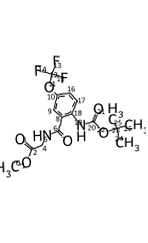 COC(=O)CNC(=O)c1cc(OC(F)(F)F)ccc1NC(=O)OC(C)(C)C